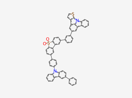 O=S1(=O)c2ccc(-c3ccc(-n4c5ccccc5c5cc(-c6ccccc6)ccc54)cc3)cc2-c2cc(-c3cccc(-c4cc5c6ccccc6n6c7sccc7c(c4)c56)c3)ccc21